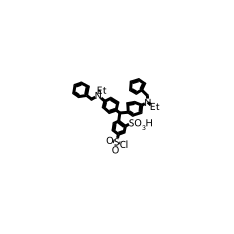 CCN(Cc1ccccc1)c1ccc(C(c2ccc(N(CC)Cc3ccccc3)cc2)c2ccc(S(=O)(=O)Cl)cc2S(=O)(=O)O)cc1